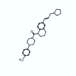 Cc1ccc(C2CCN(C(=O)N3CCCc4cc(C=CCN5CCCC5)ccc43)CC2)cc1